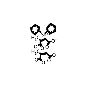 C/C(=C/C(=O)[O-])C(=O)[O-].C/C(=C/C(=O)[O-])C(=O)[O-].c1cc[c]([Sn+4][c]2ccccc2)cc1